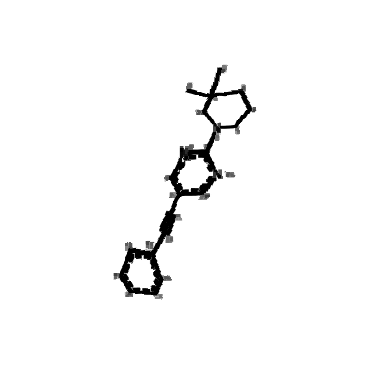 CC1(C)CCCN(c2ncc(C#Cc3ccccc3)cn2)C1